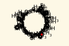 CCCC[C@H]1C(=O)N2C[C@H](O)C[C@@H]2C(=O)N[C@@H](CC(=O)O)C(=O)N[C@@H](C(C)C)C(=O)N(C)[C@@H](Cc2ccccc2)C(=O)N[C@@H](CC(=O)O)C(=O)N2CCC[C@@H]2C(=O)N[C@@H](Cc2c[nH]c3ccccc23)C(=O)N[C@@H](Cc2ccc(O)cc2)C(=O)N[C@@H](CCO)C(=O)N[C@H](C)CSCC(=O)N[C@@H](Cc2cc(F)c(F)c(F)c2)C(=O)N(C)[C@@H](Cc2ccccc2)C(=O)N1C